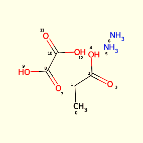 CCC(=O)O.N.N.O=C(O)C(=O)O